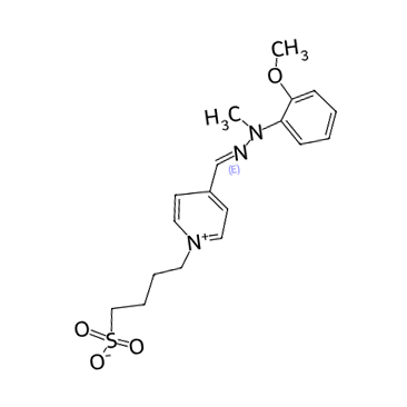 COc1ccccc1N(C)/N=C/c1cc[n+](CCCCS(=O)(=O)[O-])cc1